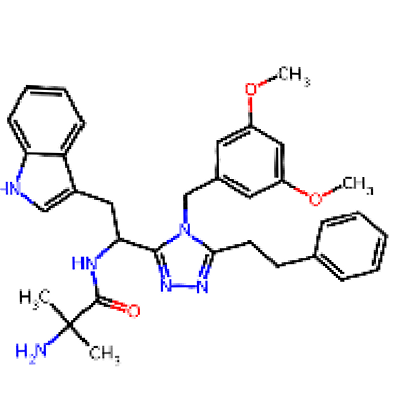 COc1cc(Cn2c(CCc3ccccc3)nnc2C(Cc2c[nH]c3ccccc23)NC(=O)C(C)(C)N)cc(OC)c1